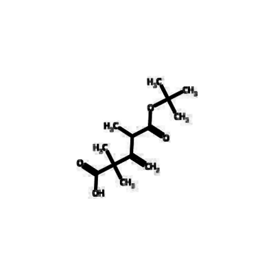 C=C(C(C)C(=O)OC(C)(C)C)C(C)(C)C(=O)O